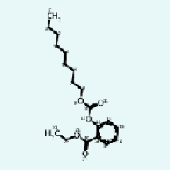 CCCCCCCCCOC(=O)Oc1ccccc1C(=O)OCC